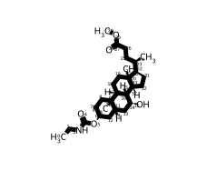 CCNC(=O)O[C@@H]1CC[C@@]2(C)[C@@H](C1)C[C@@H](O)[C@@H]1[C@@H]2CC[C@]2(C)[C@@H]([C@H](C)CCC(=O)OC)CC[C@@H]12